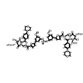 CCCCC[C@@H](C(=O)NCNC(=O)c1ccc(-c2cc(OCC)cc(O[PH](=O)Oc3cc(OCC)cc(-c4ccc(C(=O)NCNC(=O)[C@H](CCCCC)[C@@H](CC)N(C=O)OC(=O)c5ccc(N6CCOCC6)cc5)o4)c3)c2)o1)[C@@H](CC)N(C=O)OC(=O)c1ccc(N2CCOCC2)cc1